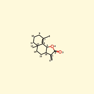 C=C1C(=O)OC2C3=C(C)CCCC3(C)CCC12